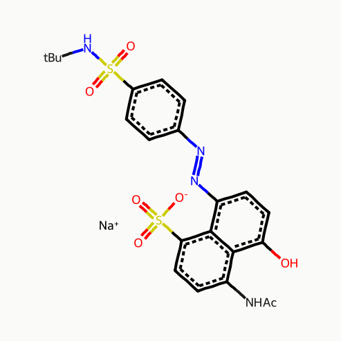 CC(=O)Nc1ccc(S(=O)(=O)[O-])c2c(N=Nc3ccc(S(=O)(=O)NC(C)(C)C)cc3)ccc(O)c12.[Na+]